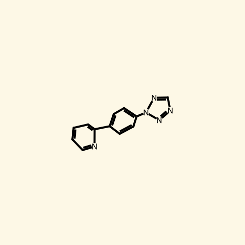 c1ccc(-c2ccc(-n3ncnn3)cc2)nc1